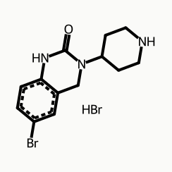 Br.O=C1Nc2ccc(Br)cc2CN1C1CCNCC1